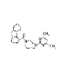 Cc1cc(C)nc(N2CC3CCN(C(=O)c4cccc5c4-c4ccccc4C5)CC32)n1